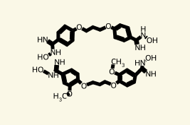 COc1cc(C(=N)NO)ccc1OCCCOc1ccc(C(=N)NO)cc1OC.N=C(NO)c1ccc(OCCCOc2ccc(C(=N)NO)cc2)cc1